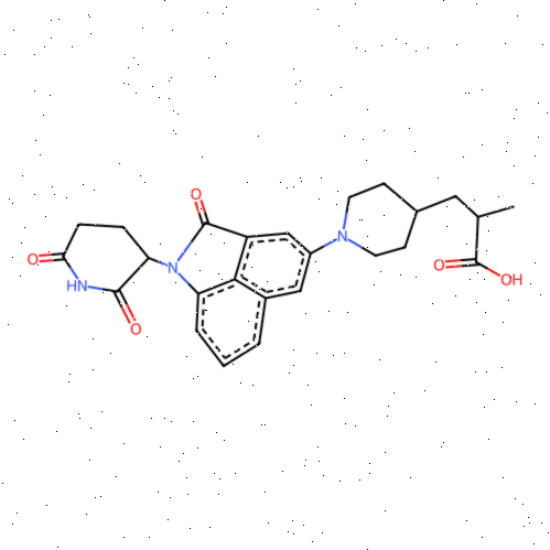 CC(CC1CCN(c2cc3c4c(cccc4c2)N(C2CCC(=O)NC2=O)C3=O)CC1)C(=O)O